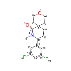 CN1C(=O)C2(CCOCC2)CC[C@H]1c1cc(F)cc(F)c1